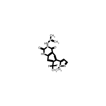 C=S(C)Nn1c(=O)[nH]c2cc(C(C)(F)F)c(-c3ccnn3C)cc2c1=O